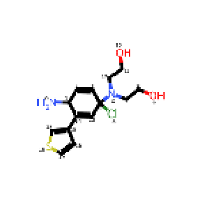 NC1C=CC(Cl)(N(CCO)CCO)C=C1c1ccsc1